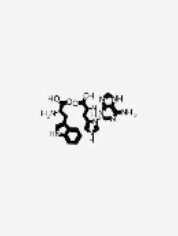 N[C@@H](Cc1c[nH]c2ccccc12)C(=O)O.N[C@@H](Cc1c[nH]cn1)C(=O)O.Nc1ncnc2nc[nH]c12